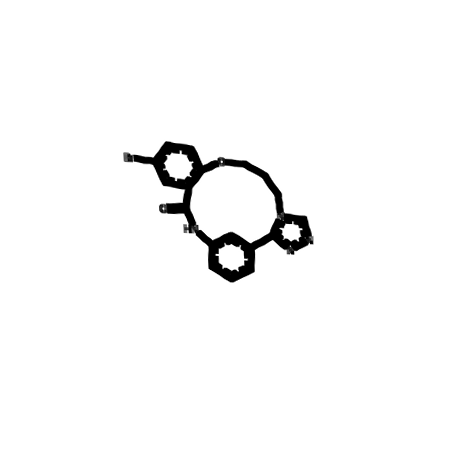 O=C1Nc2cccc(c2)-c2nncn2CCCOc2ccc(Br)cc21